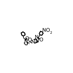 O=C(Cn1ccn2c(=O)c(-c3ccc([N+](=O)[O-])cc3)nc-2c1)[C@@H]1CCCN1C(=O)Cc1ccccc1